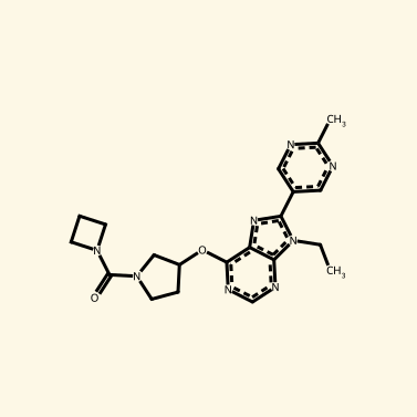 CCn1c(-c2cnc(C)nc2)nc2c(OC3CCN(C(=O)N4CCC4)C3)ncnc21